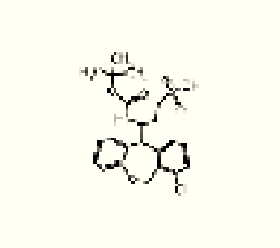 CC(C)(C)OC(=O)NC(CCS(=O)(=O)O)C1c2ccccc2SCc2c(Cl)cccc21